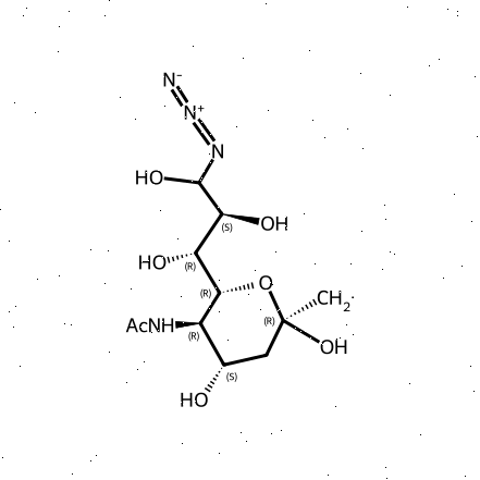 [CH2][C@]1(O)C[C@H](O)[C@@H](NC(C)=O)[C@H]([C@H](O)[C@H](O)C(O)N=[N+]=[N-])O1